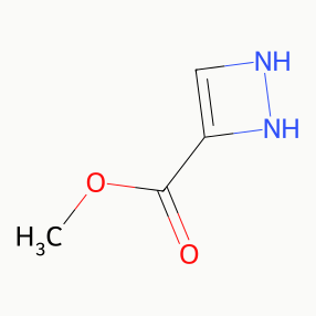 COC(=O)c1c[nH][nH]1